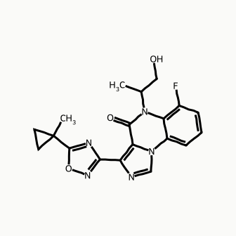 CC(CO)n1c(=O)c2c(-c3noc(C4(C)CC4)n3)ncn2c2cccc(F)c21